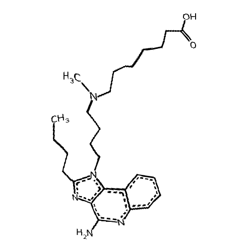 CCCCc1nc2c(N)nc3ccccc3c2n1CCCCN(C)CCCCCCC(=O)O